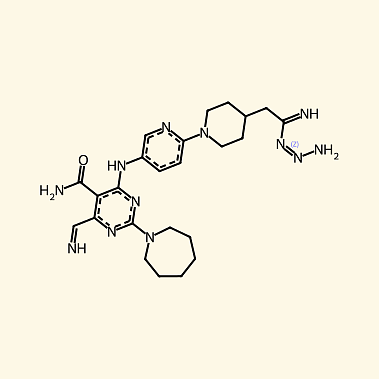 N=Cc1nc(N2CCCCCC2)nc(Nc2ccc(N3CCC(CC(=N)/N=N\N)CC3)nc2)c1C(N)=O